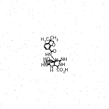 CC1(C)COc2c(C(=O)N[C@H]3CN4C(=N)NC(C(=O)O)C5NC(=N)N[C@@]54C3(O)O)cccc21